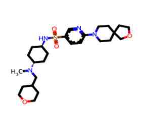 CN(CC1CCOCC1)[C@H]1CC[C@H](NS(=O)(=O)c2ccc(N3CCC4(CCOC4)CC3)nc2)CC1